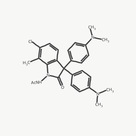 CC(=O)NN1C(=O)C(c2ccc(N(C)C)cc2)(c2ccc(N(C)C)cc2)c2ccc(Cl)c(C)c21